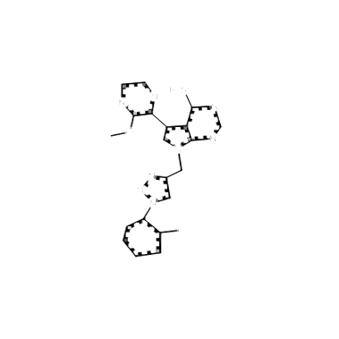 COc1nccnc1-c1cn(Cc2cn(-c3ccccc3F)nn2)c2ncnc(N)c12